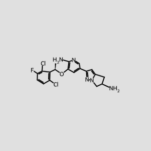 C[C@@H](Oc1cc(-c2cc3n(n2)CC(N)C3)cnc1N)c1c(Cl)ccc(F)c1Cl